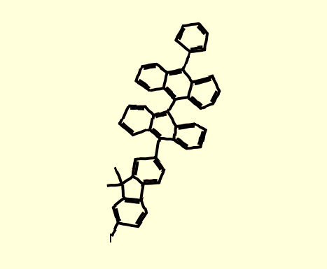 CC1(C)c2cc(I)ccc2-c2ccc(-c3c4ccccc4c(-c4c5ccccc5c(-c5ccccc5)c5ccccc45)c4ccccc34)cc21